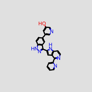 Oc1cncc(-c2ccc3[nH]nc(-c4cc5c(-c6ccccn6)nccc5[nH]4)c3c2)c1